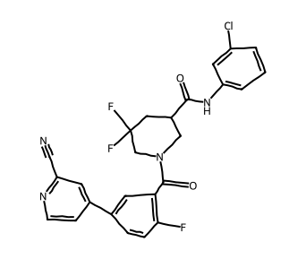 N#Cc1cc(-c2ccc(F)c(C(=O)N3CC(C(=O)Nc4cccc(Cl)c4)CC(F)(F)C3)c2)ccn1